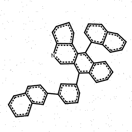 c1cc(-c2ccc3ccccc3c2)cc(-c2c3ccccc3c(-c3cccc4ccccc34)c3c2cnc2ccccc23)c1